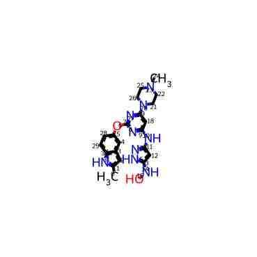 Cc1cc2cc(Oc3nc(Nc4cc(NO)[nH]n4)cc(N4CCN(C)CC4)n3)ccc2[nH]1